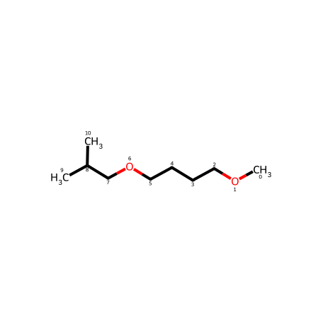 COCCCCOCC(C)C